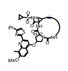 COc1ccc2c(OC3C[C@H]4C(=O)NC5(C(=O)NS(=O)(=O)C6CC6)CC5/C=C\CCCCCNC(=O)N4C3)cc(-c3nc(C(C)C)cs3)nc2c1C